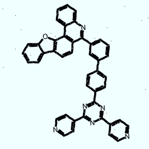 c1cc(-c2ccc(-c3nc(-c4ccncc4)nc(-c4ccncc4)n3)cc2)cc(-c2nc3ccccc3c3c2ccc2c4ccccc4oc23)c1